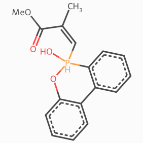 COC(=O)C(C)=C[PH]1(O)Oc2ccccc2-c2ccccc21